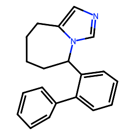 c1ccc(-c2ccccc2C2CCCCc3cncn32)cc1